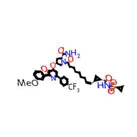 COc1ccc2oc3c(O[C@@H]4C[C@@H](C(N)=O)N(C(=O)CCCCCC/C=C\[C@@H]5C[C@@H]5C(=O)NS(=O)(=O)C5CC5)C4)cc(-c4ccc(C(F)(F)F)cc4)nc3c2c1